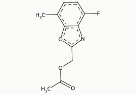 CC(=O)OCc1nc2c(F)ccc(C)c2o1